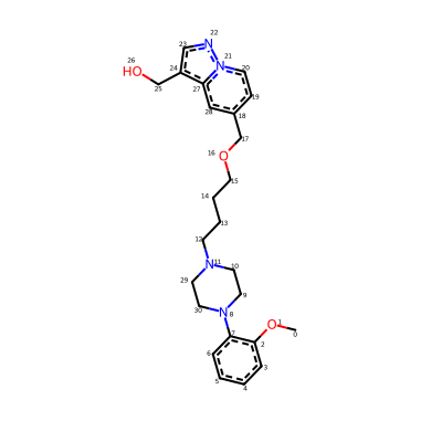 COc1ccccc1N1CCN(CCCCOCc2ccn3ncc(CO)c3c2)CC1